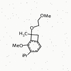 COCCOC1(C)Cc2ccc(C(C)C)c(OC)c21